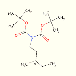 CC[C@H](C)CCN(C(=O)OC(C)(C)C)C(=O)OC(C)(C)C